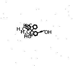 CC(=NO)C(c1cccc(C#CCO)c1)(c1ccnc(C)c1)c1ccccc1C